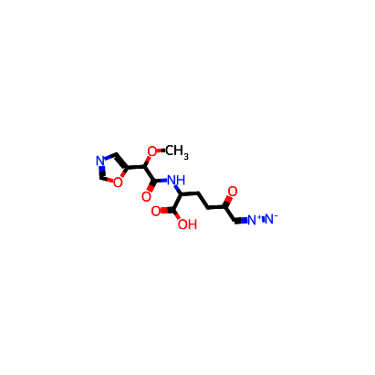 COC(C(=O)NC(CCC(=O)C=[N+]=[N-])C(=O)O)c1cnco1